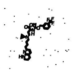 O=C(NC(CCN(CCCCc1ccc2c(n1)NCCC2)C1CC1)C(=O)O)OCc1cccc(C(F)(F)F)c1